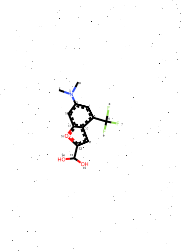 CN(C)c1cc(C(F)(F)F)c2cc(C(O)O)oc2c1